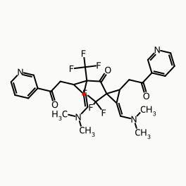 CN(C)/C=C1\C(CC(=O)c2cccnc2)C1(C(=O)C1(C(F)(F)F)/C(=C/N(C)C)C1CC(=O)c1cccnc1)C(F)(F)F